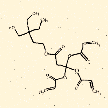 C=CC(=O)OC(CC(=O)OCCC(CO)(CO)CO)(OC(=O)C=C)OC(=O)C=C